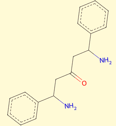 NC(CC(=O)CC(N)c1ccccc1)c1ccccc1